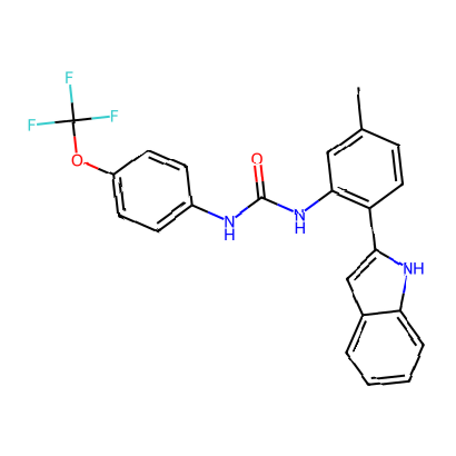 Cc1ccc(-c2cc3ccccc3[nH]2)c(NC(=O)Nc2ccc(OC(F)(F)F)cc2)c1